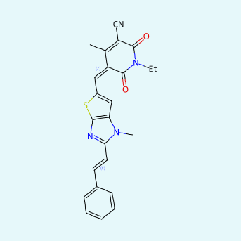 CCN1C(=O)C(C#N)=C(C)/C(=C/c2cc3c(nc(/C=C/c4ccccc4)n3C)s2)C1=O